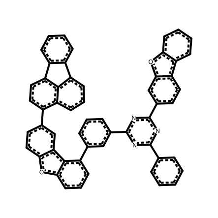 c1ccc(-c2nc(-c3cccc(-c4cccc5oc6ccc(-c7ccc8c9c(cccc79)-c7ccccc7-8)cc6c45)c3)nc(-c3ccc4c(c3)oc3ccccc34)n2)cc1